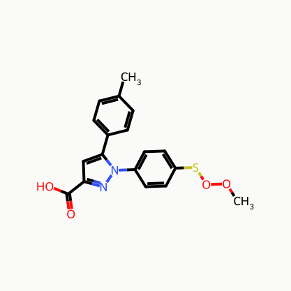 COOSc1ccc(-n2nc(C(=O)O)cc2-c2ccc(C)cc2)cc1